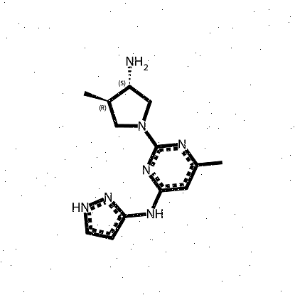 Cc1cc(Nc2cc[nH]n2)nc(N2C[C@@H](C)[C@H](N)C2)n1